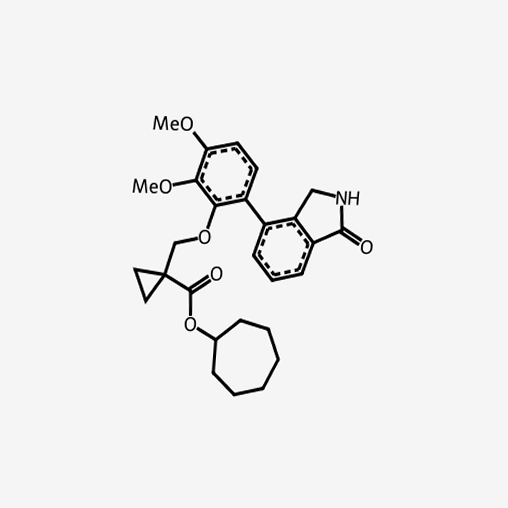 COc1ccc(-c2cccc3c2CNC3=O)c(OCC2(C(=O)OC3CCCCCC3)CC2)c1OC